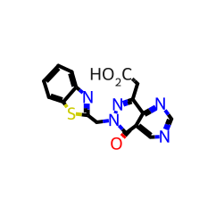 O=C(O)Cc1nn(Cc2nc3ccccc3s2)c(=O)c2cncnc12